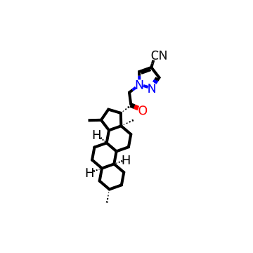 CC1C[C@H](C(=O)Cn2cc(C#N)cn2)[C@@]2(C)CCC3[C@@H](CC[C@@H]4C[C@@H](C)CC[C@H]34)C12